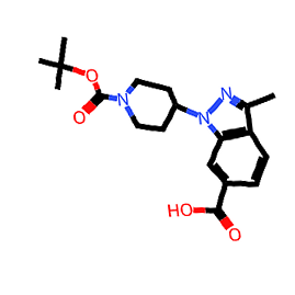 Cc1nn(C2CCN(C(=O)OC(C)(C)C)CC2)c2cc(C(=O)O)ccc12